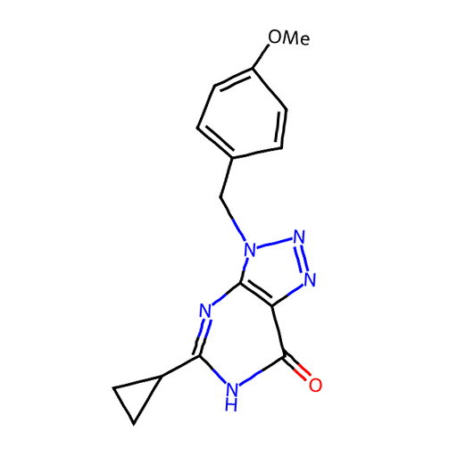 COc1ccc(Cn2nnc3c(=O)[nH]c(C4CC4)nc32)cc1